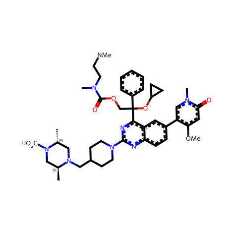 CNCCN(C)C(=O)OCC(OC1CC1)(c1ccccc1)c1nc(N2CCC(CN3C[C@@H](C)N(C(=O)O)C[C@@H]3C)CC2)nc2ccc(-c3cn(C)c(=O)cc3OC)cc12